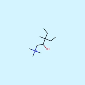 CCC(C)(CC)C(O)C[N+](C)(C)C